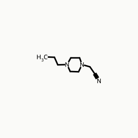 CCCN1CCN(CC#N)CC1